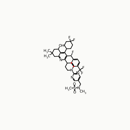 CN(Cc1cnc(N2CCC(c3nc4c(c(C5CCC(F)(F)CC5)c3[C@@H](F)c3ccc(C(F)(F)F)cc3)C(O)CC(C)(C)C4)CC2)nc1)S(C)(=O)=O